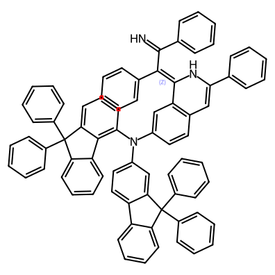 N=C(/C(=C1\NC(c2ccccc2)=Cc2ccc(N(c3ccc4c(c3)C(c3ccccc3)(c3ccccc3)c3ccccc3-4)c3cccc4c3-c3ccccc3C4(c3ccccc3)c3ccccc3)cc21)c1ccccc1)c1ccccc1